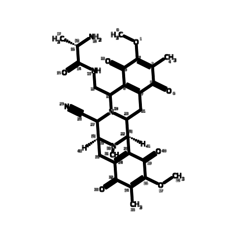 COC1=C(C)C(=O)C2=C(C1=O)C(CNC(=O)[C@H](C)N)N1C(C2)[C@H]2C3=C(C[C@@H](C1C#N)N2C)C(=O)C(C)=C(OC)C3=O